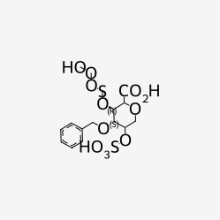 O=C(O)C1OCC(OS(=O)(=O)O)[C@H](OCc2ccccc2)[C@H]1OSOOO